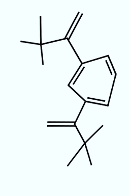 C=C(c1cccc(C(=C)C(C)(C)C)c1)C(C)(C)C